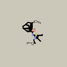 COCCn1c(C)c(C)sc1=NC(=O)C12CC3CC(CC(OC)(C3)C1)C2